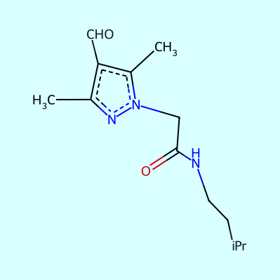 Cc1nn(CC(=O)NCCC(C)C)c(C)c1C=O